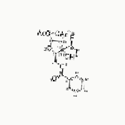 CC(=O)OC1O[C@H](COC(=O)c2ccccc2)[C@](O)(C(F)F)[C@H]1OC(C)=O